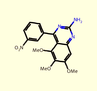 COc1cc2nc(N)nc(-c3cccc([N+](=O)[O-])c3)c2c(OC)c1OC